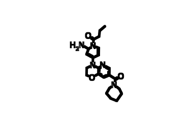 CCCC(=O)N1C=CC(N2CCOc3cc(C(=O)N4CCCCCC4)cnc32)=CC1N